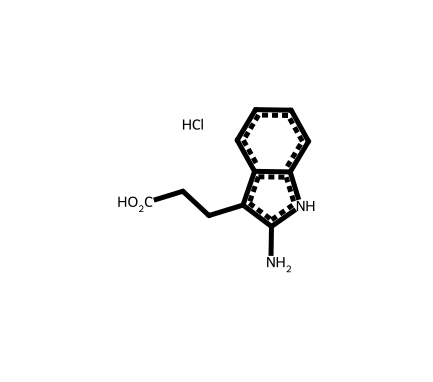 Cl.Nc1[nH]c2ccccc2c1CCC(=O)O